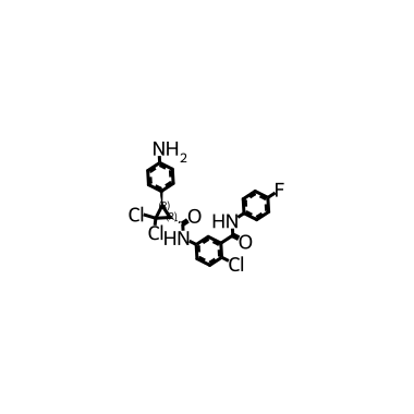 Nc1ccc([C@H]2[C@H](C(=O)Nc3ccc(Cl)c(C(=O)Nc4ccc(F)cc4)c3)C2(Cl)Cl)cc1